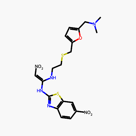 CN(C)Cc1ccc(CSCCNC(=C[N+](=O)[O-])Nc2nc3ccc([N+](=O)[O-])cc3s2)o1